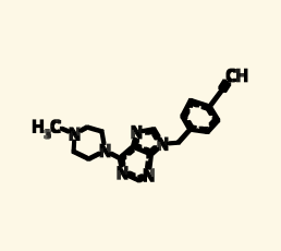 C#Cc1ccc(Cn2cnc3c(N4CCN(C)CC4)ncnc32)cc1